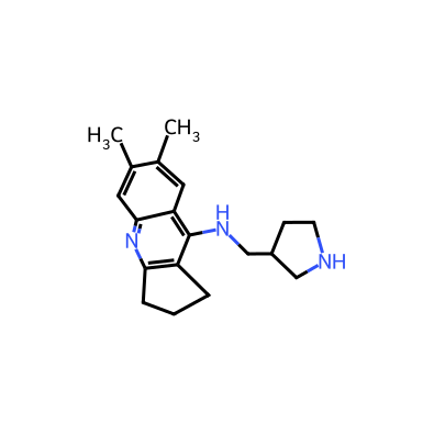 Cc1cc2nc3c(c(NCC4CCNC4)c2cc1C)CCC3